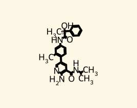 Cc1cc(NC(=O)[C@@](C)(O)c2ccccc2)ccc1-c1cnc(N)c(C(=O)NC(C)C)c1